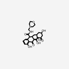 O=C1C2=C(O)C3(O)C(=O)CC(O)CC3CC2C(C(=O)NCN2CCOCC2)c2cccc(O)c21